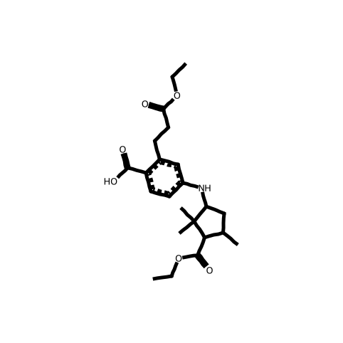 CCOC(=O)CCc1cc(NC2CC(C)C(C(=O)OCC)C2(C)C)ccc1C(=O)O